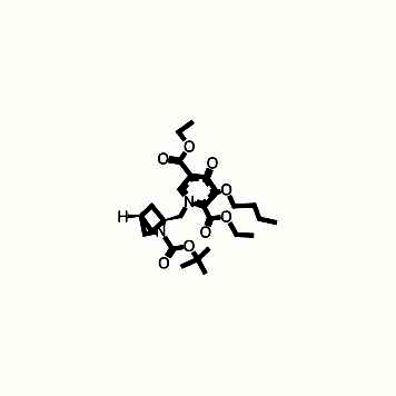 CCCCOc1c(C(=O)OCC)n(C[C@]23C[C@H](CN2C(=O)OC(C)(C)C)C3)cc(C(=O)OCC)c1=O